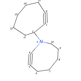 C1#CC(N2C#CCCCCC2)CCCCC1